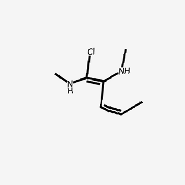 C/C=C\C(NC)=C(\Cl)NC